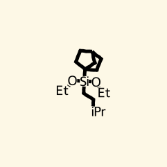 CCO[Si](CCC(C)C)(OCC)C12CCC(CC1)C2